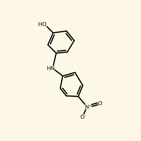 O=[N+]([O-])c1ccc(Nc2cccc(O)c2)cc1